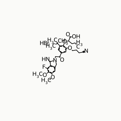 Br.CCCC(Oc1c(OCCCC#N)cc(C(=O)CN2Cc3cc(OC)c(OC)c(F)c3C2=N)cc1C(C)(C)C)C(=O)O